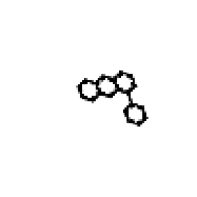 [c]1ccc2cc3ccccc3cc2c1-c1ccccc1